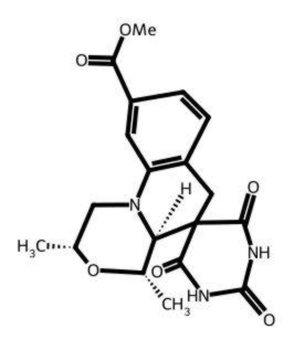 COC(=O)c1ccc2c(c1)N1C[C@@H](C)O[C@@H](C)[C@@H]1C1(C2)C(=O)NC(=O)NC1=O